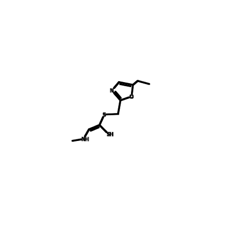 CCc1cnc(CS/C(S)=C/NC)o1